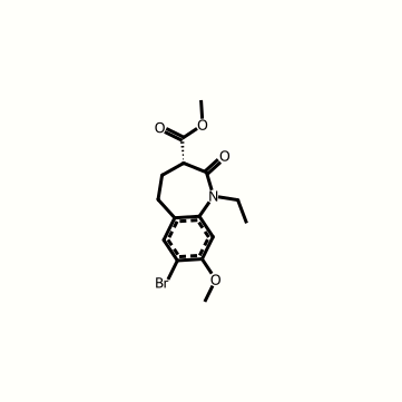 CCN1C(=O)[C@@H](C(=O)OC)CCc2cc(Br)c(OC)cc21